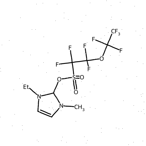 CCN1C=CN(C)C1OS(=O)(=O)C(F)(F)C(F)(F)OC(F)(F)C(F)(F)F